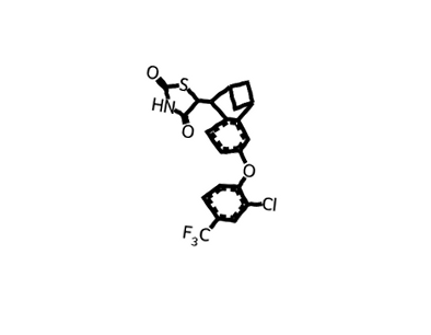 O=C1NC(=O)C(C2c3ccc(Oc4ccc(C(F)(F)F)cc4Cl)cc3C3CC2C3)S1